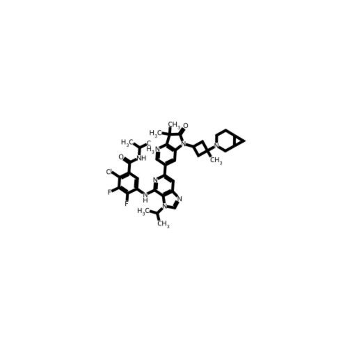 CC(C)NC(=O)c1cc(Nc2nc(-c3cnc4c(c3)N(C3CC(C)(N5CCC6CC6C5)C3)C(=O)C4(C)C)cc3ncn(C(C)C)c23)c(F)c(F)c1Cl